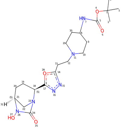 CC(C)(C)OC(=O)NC1CCN(CCc2nnc([C@@H]3CC[C@H]4CN3C(=O)N4O)o2)CC1